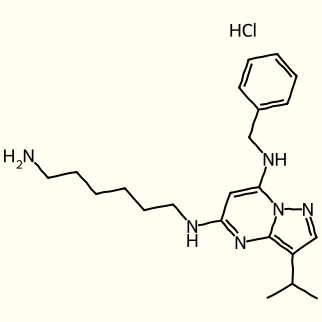 CC(C)c1cnn2c(NCc3ccccc3)cc(NCCCCCCN)nc12.Cl